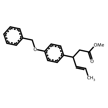 CC=CC(CC(=O)OC)c1ccc(OCc2ccccc2)cc1